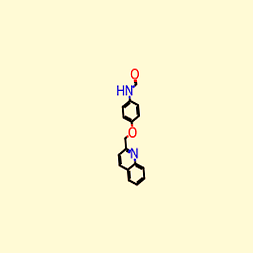 O=CNc1ccc(OCc2ccc3ccccc3n2)cc1